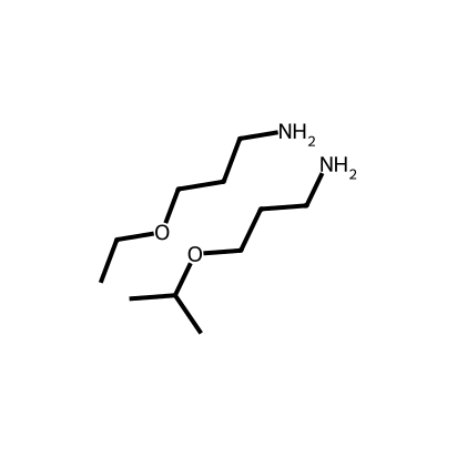 CC(C)OCCCN.CCOCCCN